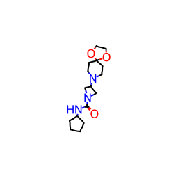 O=C(NC1CCCC1)N1CC(N2CCC3(CC2)OCCO3)C1